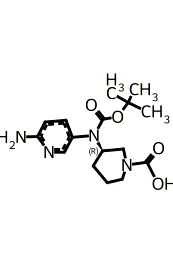 CC(C)(C)OC(=O)N(c1ccc(N)nc1)[C@@H]1CCCN(C(=O)O)C1